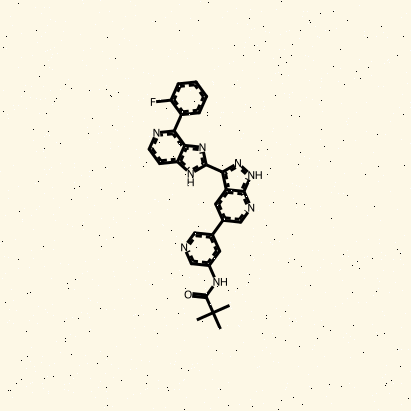 CC(C)(C)C(=O)Nc1cncc(-c2cnc3[nH]nc(-c4nc5c(-c6ccccc6F)nccc5[nH]4)c3c2)c1